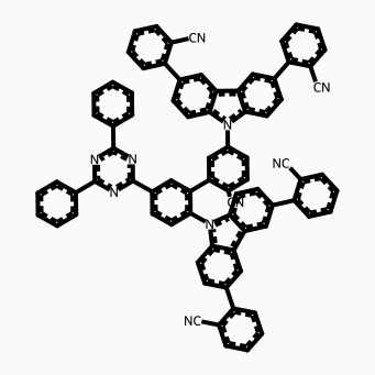 N#Cc1ccccc1-c1ccc2c(c1)c1cc(-c3ccccc3C#N)ccc1n2-c1ccc(C#N)c(-c2cc(-c3nc(-c4ccccc4)nc(-c4ccccc4)n3)ccc2-n2c3ccc(-c4ccccc4C#N)cc3c3cc(-c4ccccc4C#N)ccc32)c1